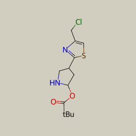 CC(C)(C)C(=O)OC1CC(c2nc(CCl)cs2)CN1